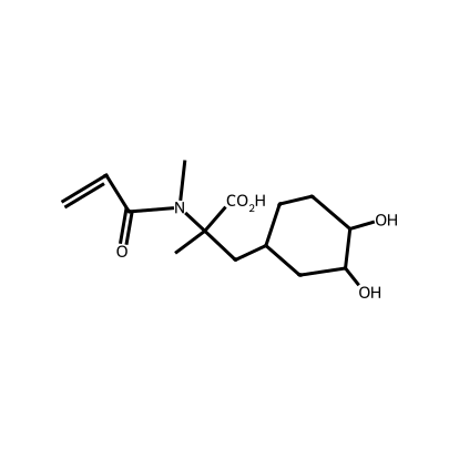 C=CC(=O)N(C)C(C)(CC1CCC(O)C(O)C1)C(=O)O